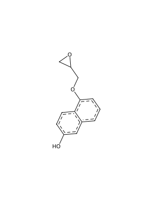 Oc1ccc2c(OCC3CO3)cccc2c1